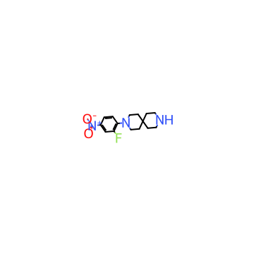 O=[N+]([O-])c1ccc(N2CCC3(CCNCC3)CC2)c(F)c1